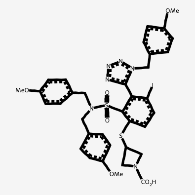 COc1ccc(CN(Cc2ccc(OC)cc2)S(=O)(=O)c2c(SC3CN(C(=O)O)C3)ccc(I)c2-c2nnnn2Cc2ccc(OC)cc2)cc1